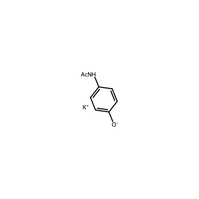 CC(=O)Nc1ccc([O-])cc1.[K+]